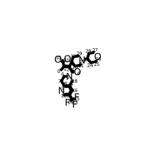 CC1=C(C(=O)N2CCc3ncc(C(F)(F)F)cc3C2)C2(CCN(C3CCOCC3)CC2)OC1=O